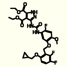 CCOC(=O)c1[nH]nc(NC(=O)Nc2cc(OCc3c(OCC4CC4)ccc(F)c3F)c(OC)cc2F)c1C(=O)OCC